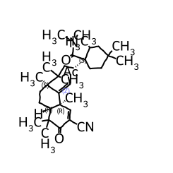 CC(=O)/C=C1/[C@@]2(C)C=C(C#N)C(=O)C(C)(C)[C@@H]2CC[C@@]1(C)C(C)(C)CC[C@@]1(C(=O)N(C)C)CCC(C)(C)CC1C